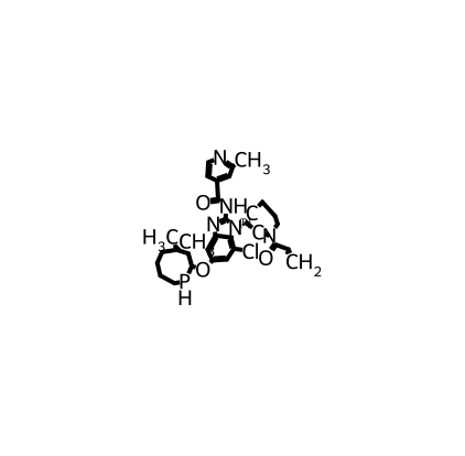 C=CC(=O)N1CCCC[C@@H](n2c(NC(=O)c3ccnc(C)c3)nc3cc(OC4CC(C)(C)CCCCP4)cc(Cl)c32)C1